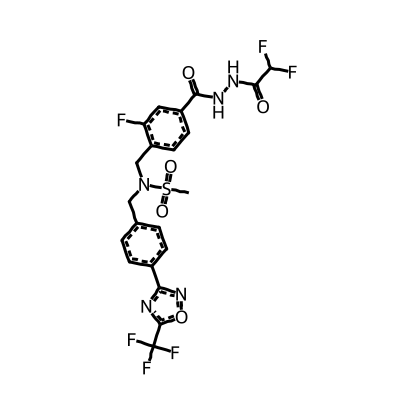 CS(=O)(=O)N(Cc1ccc(-c2noc(C(F)(F)F)n2)cc1)Cc1ccc(C(=O)NNC(=O)C(F)F)cc1F